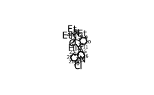 CCN(CC)N(CC)C(=O)c1ccccc1Nc1ccnc2c(Cl)cccc12